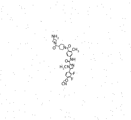 Cc1cc(NC(=O)c2ncc(-c3ccc(OCC#N)c(F)c3F)n2C)ccc1C(=O)N1CCC(C(=O)N2CC(N)C2)CC1